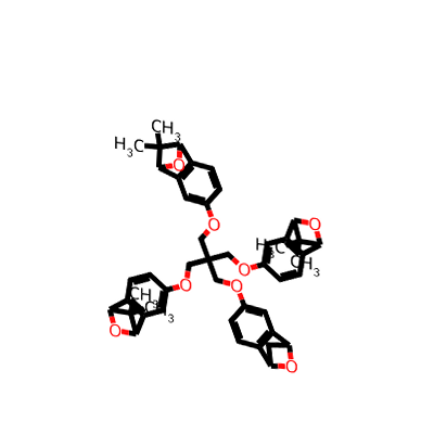 CC1(C)C2OC1c1cc(OCC(COc3ccc4c(c3)C3CC4O3)(COc3ccc4c(c3)C3OC4C3(C)C)COc3ccc4c(c3)C3OC4C3(C)C)ccc12